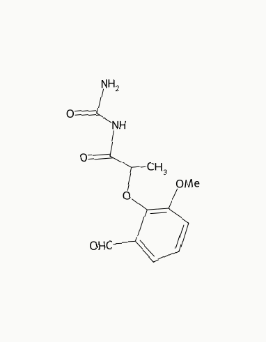 COc1cccc(C=O)c1OC(C)C(=O)NC(N)=O